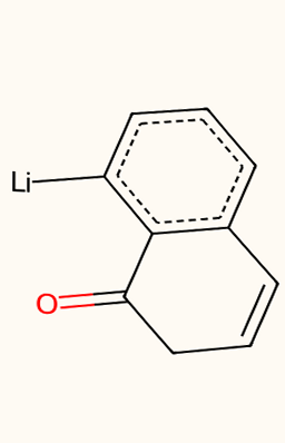 [Li][c]1cccc2c1C(=O)CC=C2